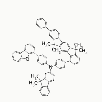 CC1(C)c2ccccc2-c2ccc(N(c3ccc(-c4cccc5c4-c4cc6c(cc4C5(C)C)-c4ccc(-c5ccccc5)cc4C6(C)C)cc3)c3ccc(-c4cccc5c4oc4ccccc45)cc3)cc21